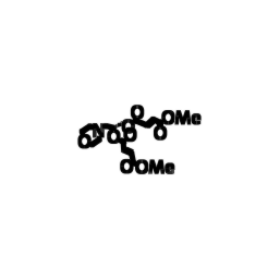 COC(=O)/C=C/C(=O)OC[C@@H](CN1CCOCC1)OC(=O)/C=C/C(=O)OC